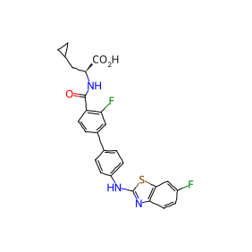 O=C(N[C@@H](CC1CC1)C(=O)O)c1ccc(-c2ccc(Nc3nc4ccc(F)cc4s3)cc2)cc1F